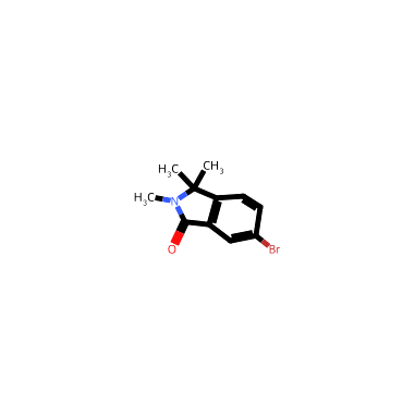 CN1C(=O)c2cc(Br)ccc2C1(C)C